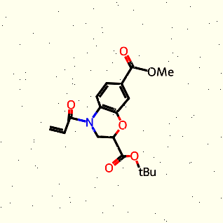 C=CC(=O)N1CC(C(=O)OC(C)(C)C)Oc2cc(C(=O)OC)ccc21